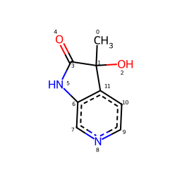 CC1(O)C(=O)Nc2cnccc21